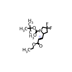 CCOC(=O)/C=C/C1CC(F)(F)CN1C(=O)OC(C)(C)C